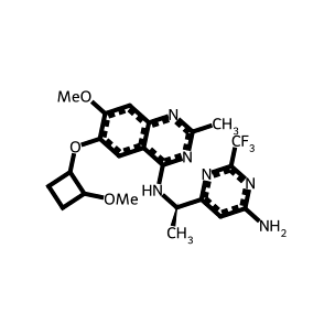 COc1cc2nc(C)nc(N[C@H](C)c3cc(N)nc(C(F)(F)F)n3)c2cc1OC1CCC1OC